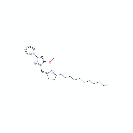 CCCCCCCCCCCC1=NC(=Cc2[nH]c(-n3cccc3)cc2OC)C=C1